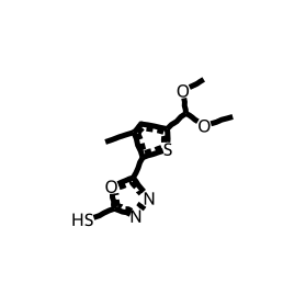 COC(OC)c1cc(C)c(-c2nnc(S)o2)s1